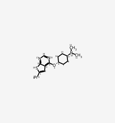 CC(C)c1cc2c(O[C@H]3CC[C@H](N(C)C)CC3)ncnc2s1